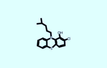 CC(C)CCCN1c2ccccc2Sc2ccc(Cl)c(O)c21